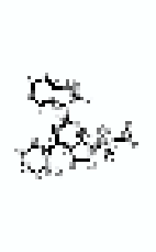 Cc1nc2ccccc2n1-c1nc(N2CCOC[C@H]2C)c2ccn(S(=O)(=O)C3CC3)c2n1